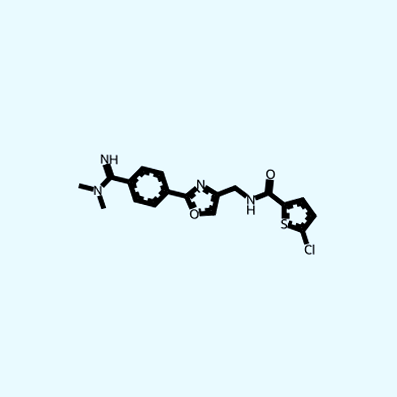 CN(C)C(=N)c1ccc(-c2nc(CNC(=O)c3ccc(Cl)s3)co2)cc1